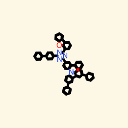 c1ccc(-c2ccc(-c3nc(-c4ccc(-n5c6ccc(-c7ccccc7)cc6c6cc(-c7ccccc7)ccc65)c(-c5ccccc5)c4)nc(-c4cccc5c4oc4ccccc45)n3)cc2)cc1